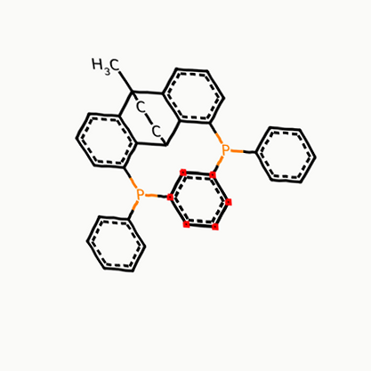 CC12CCC(c3c(P(c4ccccc4)c4ccccc4)cccc31)c1c(P(c3ccccc3)c3ccccc3)cccc12